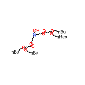 CCCCC#CCCOC(CCCCC(=O)OCCCCCCN(CCO)CCCCCCOC(=O)CCCCC(OCCC#CCCCC)OCCC#CCCCCCC)OCCC#CCCCC